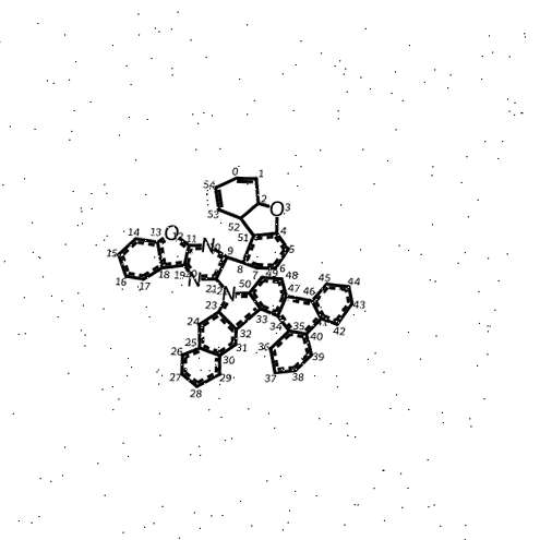 C1=CC2Oc3cccc(-c4nc5oc6ccccc6c5nc4-n4c5cc6ccccc6cc5c5c6c7ccccc7c7ccccc7c6ccc54)c3C2C=C1